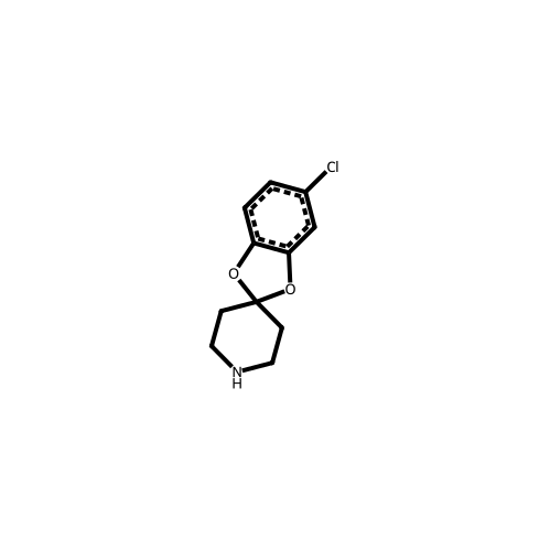 Clc1ccc2c(c1)OC1(CCNCC1)O2